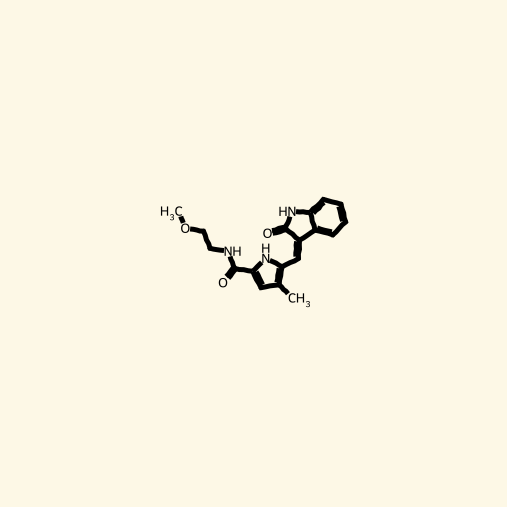 COCCNC(=O)c1cc(C)c(/C=C2\C(=O)Nc3ccccc32)[nH]1